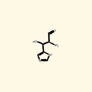 NC(C=O)C(O)c1cnc[nH]1